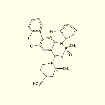 CC(C)c1ccccc1N1c2nc(-c3ccccc3F)c(Cl)cc2C(N2CCN(C(=O)O)C[C@@H]2C)=NP1(C)=O